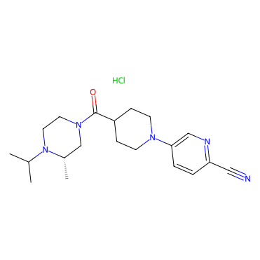 CC(C)N1CCN(C(=O)C2CCN(c3ccc(C#N)nc3)CC2)C[C@@H]1C.Cl